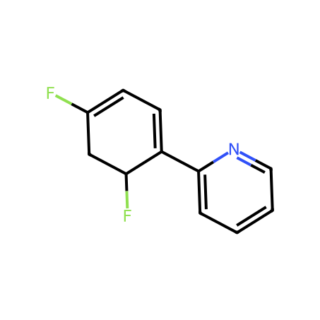 FC1=CC=C(c2ccccn2)C(F)C1